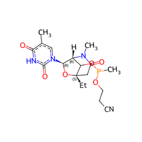 CC[C@]12CC(=O)N(C)[C@H](C1OP(C)OCCC#N)[C@H](n1cc(C)c(=O)[nH]c1=O)O2